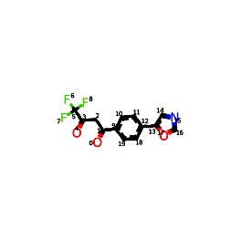 O=C(CC(=O)C(F)(F)F)c1ccc(-c2cnco2)cc1